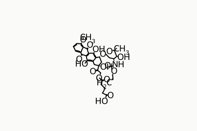 C=CCOC(=O)N[C@H]1C[C@H](O[C@H]2C[C@](O)(C(=O)COC(=O)CCCC(=O)O)Cc3c(O)c4c(c(O)c32)C(=O)c2c(OC)cccc2C4=O)O[C@@H](C)[C@H]1O